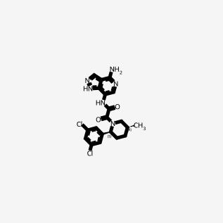 C[C@@H]1CC[C@@H](c2cc(Cl)cc(Cl)c2)N(C(=O)C(=O)Nc2cnc(N)c3cn[nH]c23)C1